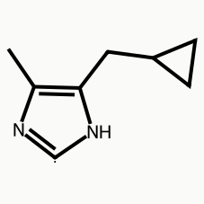 Cc1n[c][nH]c1CC1CC1